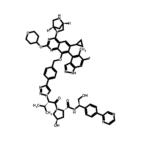 Cc1c(F)cc2[nH]ncc2c1-c1c(C2CC2)cc2c(N3C[C@@H]4C[C@H]3CN4)nc(OC3CCOCC3)nc2c1OCc1ccc(-c2cn([C@H](C(=O)N3C[C@H](O)C[C@H]3C(=O)N[C@@H](CO)c3ccc(-c4cnccn4)cc3)C(C)C)nn2)cc1